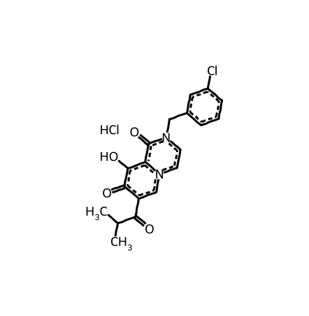 CC(C)C(=O)c1cn2ccn(Cc3cccc(Cl)c3)c(=O)c2c(O)c1=O.Cl